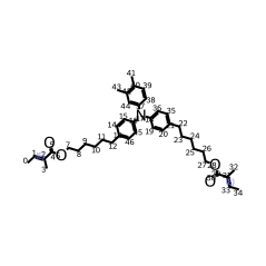 C/C=C(\C)C(=O)OCCCCCCc1ccc(N(c2ccc(CCCCCCOC(=O)/C(C)=C/C)cc2)c2ccc(C)c(C)c2)cc1